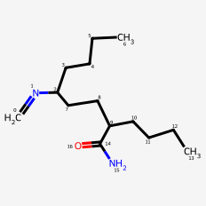 C=NC(CCCC)CCC(CCCC)C(N)=O